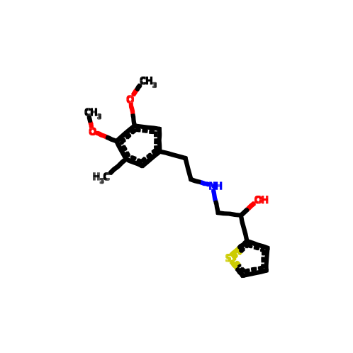 COc1cc(CCNCC(O)c2cccs2)cc(C)c1OC